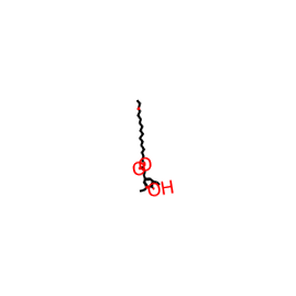 CCCCCCCCCCCCCCCCCOC(=O)CCc1cc(CC)c(O)c(CC)c1